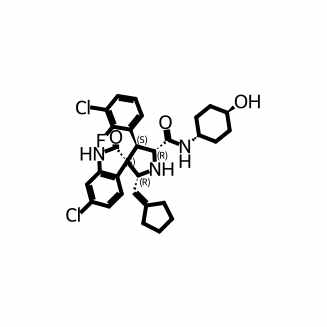 O=C(N[C@H]1CC[C@H](O)CC1)[C@@H]1N[C@H](C=C2CCCC2)[C@]2(C(=O)Nc3cc(Cl)ccc32)[C@H]1c1cccc(Cl)c1F